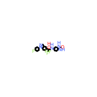 O=c1[nH]c2ccc(NCC(O)(c3ccc4c(cnn4-c4ccc(F)cc4)c3)C(F)(F)F)cc2[nH]1